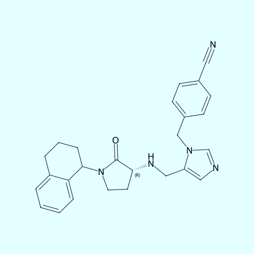 N#Cc1ccc(Cn2cncc2CN[C@@H]2CCN(C3CCCc4ccccc43)C2=O)cc1